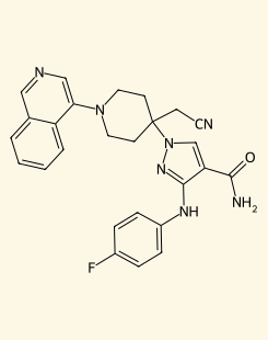 N#CCC1(n2cc(C(N)=O)c(Nc3ccc(F)cc3)n2)CCN(c2cncc3ccccc23)CC1